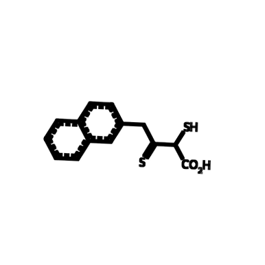 O=C(O)C(S)C(=S)Cc1ccc2ccccc2c1